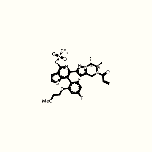 C=CC(=O)N1Cc2cc(-c3nc(OS(=O)(=O)C(F)(F)F)c4ccsc4c3-c3c(F)cc(F)cc3OCCOC)nn2[C@H](C)[C@H]1C